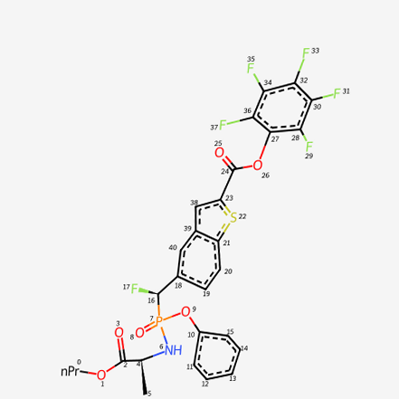 CCCOC(=O)[C@H](C)NP(=O)(Oc1ccccc1)[C@@H](F)c1ccc2sc(C(=O)Oc3c(F)c(F)c(F)c(F)c3F)cc2c1